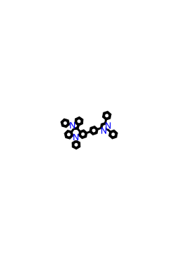 c1ccc(-c2cc(-c3ccc(-c4ccc5c(c4)-c4c(n(-c6ccccc6)c6ccccc46)-c4ccccc4N5c4ccccc4)cc3)nc(-c3ccccc3)n2)cc1